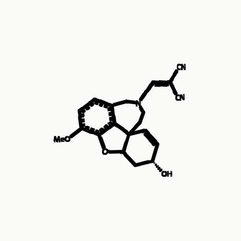 COc1ccc2c3c1OC1C[C@@H](O)C=CC31CCN(C=C(C#N)C#N)C2